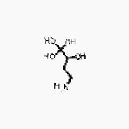 NCCC(O)C(O)(O)O